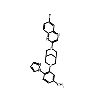 Cc1c[c]c(-n2cccn2)c(N2CC3CC(CN(c4cnc5cc(F)ccc5n4)C3)C2)c1